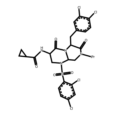 CC(C)N1CC2N(C(=O)C(NC(=O)C3CC3)CN2S(=O)(=O)c2ccc(Cl)cc2Cl)C(Cc2ccc(Cl)c(Cl)c2)C1=O